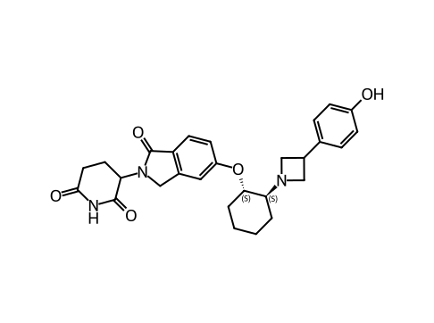 O=C1CCC(N2Cc3cc(O[C@H]4CCCC[C@@H]4N4CC(c5ccc(O)cc5)C4)ccc3C2=O)C(=O)N1